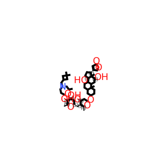 CC1CN(CC2CC(C)(C)C2)CCC(O[C@@H]2[C@H](C)O[C@@H](C[C@@H]3[C@H](C)OC(OC4CCC5(C)C(CCC6C5C[C@H](O)C5(C)[C@@H](C7=CC(=O)OC7)CC[C@]65O)C4)C[C@@H]3O)C[C@@H]2O)O1